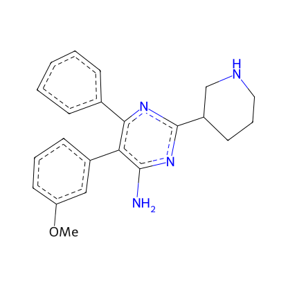 COc1cccc(-c2c(N)nc(C3CCCNC3)nc2-c2ccccc2)c1